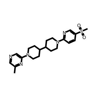 Cc1cncc(N2CCC(C3CCN(c4ccc(S(C)(=O)=O)cn4)CC3)CC2)n1